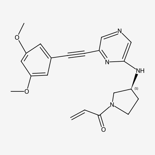 C=CC(=O)N1CC[C@H](Nc2cncc(C#Cc3cc(OC)cc(OC)c3)n2)C1